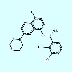 Cc1c([C@@H](N)Nc2ncc(F)c3ccc(N4CCNCC4)cc23)cccc1C(F)(F)F